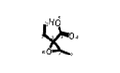 [CH2]CC1(C(=O)O)O[C]1C